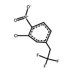 O=[N+]([O-])c1ccc(CC(F)(F)F)cc1Cl